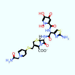 NC(=O)C[n+]1ccc(SCC2=C(C(=O)[O-])N3C(=O)[C@@H](NC(=O)C(NC(=O)c4cc(=O)c(O)cn4O)c4csc(N)n4)[C@H]3SC2)cc1